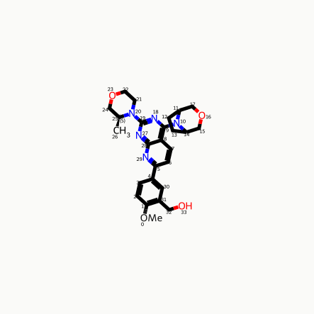 COc1ccc(-c2ccc3c(N4C5CCC4COC5)nc(N4CCOC[C@@H]4C)nc3n2)cc1CO